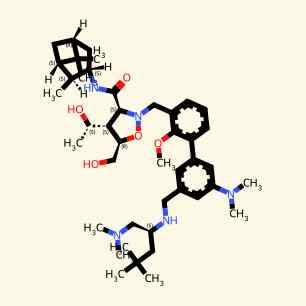 COc1c(CN2O[C@@H](CO)[C@H]([C@H](C)O)[C@H]2C(=O)N[C@H]2C[C@H]3C[C@@H]([C@@H]2C)C3(C)C)cccc1-c1cc(CN[C@H](CN(C)C)CC(C)(C)C)cc(N(C)C)c1